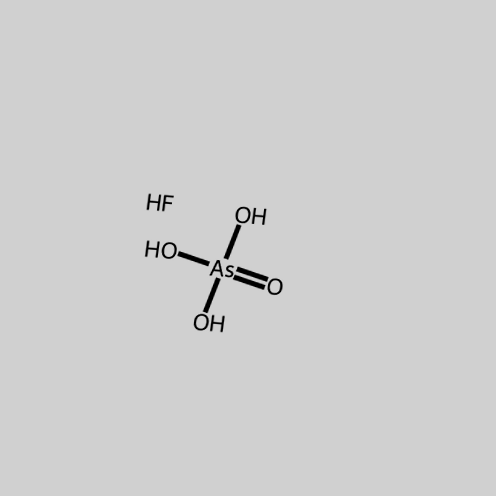 F.O=[As](O)(O)O